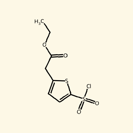 CCOC(=O)Cc1ccc(S(=O)(=O)Cl)s1